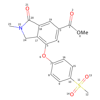 COC(=O)c1cc(Oc2ccc(S(C)(=O)=O)cc2)c2c(c1)C(=O)N(C)C2